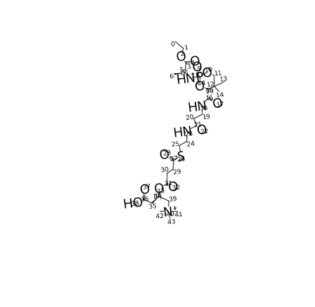 CCOC(=O)[C@H](C)NP1(=O)OCC(C)(C)[C@H](C(=O)NCCC(=O)NCCSC(=O)CCC(=O)O[C@H](CC(=O)O)C[N+](C)(C)C)O1